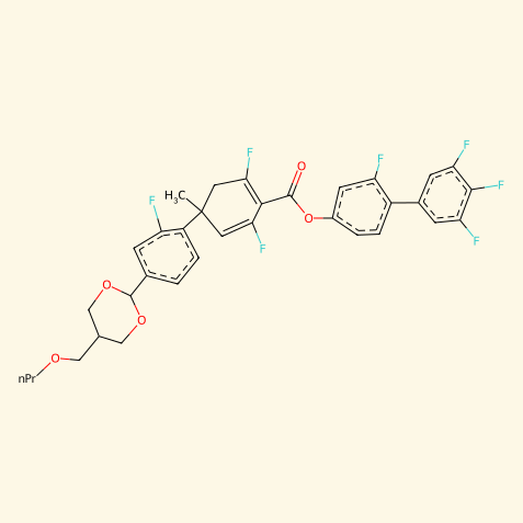 CCCOCC1COC(c2ccc(C3(C)C=C(F)C(C(=O)Oc4ccc(-c5cc(F)c(F)c(F)c5)c(F)c4)=C(F)C3)c(F)c2)OC1